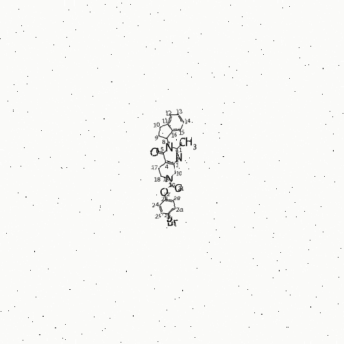 Cc1nc2c(c(=O)n1C1CCc3ccccc31)CCN(C(=O)Oc1ccc(Br)cc1)C2